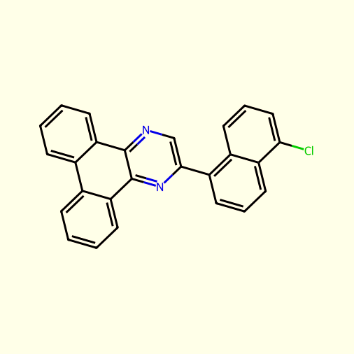 Clc1cccc2c(-c3cnc4c5ccccc5c5ccccc5c4n3)cccc12